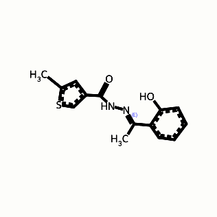 C/C(=N\NC(=O)c1csc(C)c1)c1ccccc1O